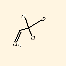 C=CC([S])(Cl)Cl